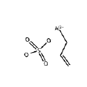 C=C[CH2][Al+2].O=S(=O)([O-])[O-]